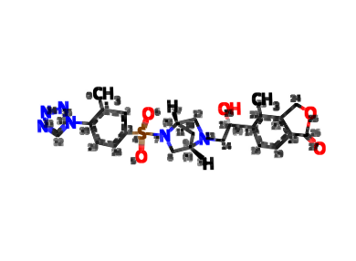 Cc1cc(S(=O)(=O)N2C[C@@H]3C[C@H]2CN3C[C@H](O)c2ccc3c(c2C)COC3=O)ccc1-n1cnnn1